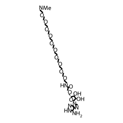 CNCCOCCOCCOCCOCCOCCOCCOCCOCCOCCOCCNC(=O)COC[C@H]1O[C@@H](n2cnc3c2N=CNC3N)[C@H](O)[C@@H]1O